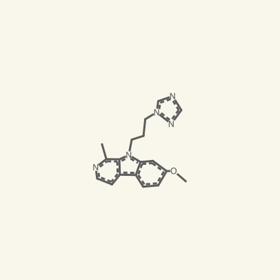 COc1ccc2c3ccnc(C)c3n(CCCn3cncn3)c2c1